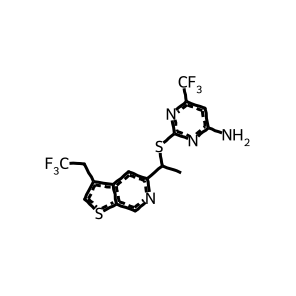 CC(Sc1nc(N)cc(C(F)(F)F)n1)c1cc2c(CC(F)(F)F)csc2cn1